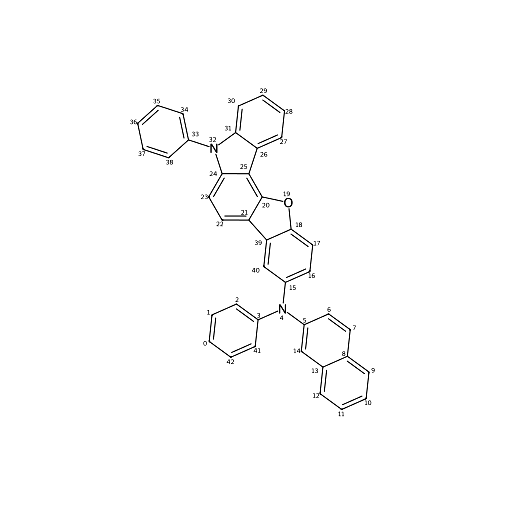 c1ccc(N(c2ccc3ccccc3c2)c2ccc3oc4c(ccc5c4c4ccccc4n5-c4ccccc4)c3c2)cc1